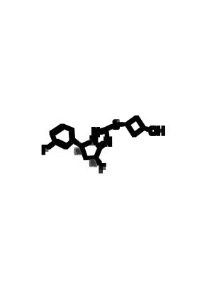 O[C@H]1C[C@@H](Sc2nc3n(n2)[C@H](c2cccc(F)c2)C[C@@H]3F)C1